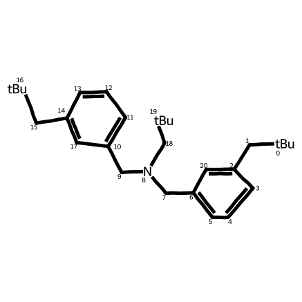 CC(C)(C)Cc1cccc(CN(Cc2cccc(CC(C)(C)C)c2)CC(C)(C)C)c1